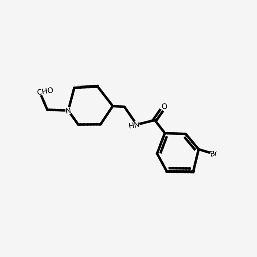 O=CCN1CCC(CNC(=O)c2cccc(Br)c2)CC1